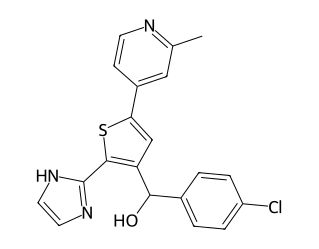 Cc1cc(-c2cc(C(O)c3ccc(Cl)cc3)c(-c3ncc[nH]3)s2)ccn1